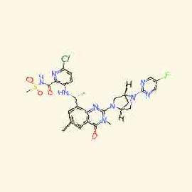 Cc1cc([C@@H](C)Nc2ccc(Cl)nc2C(=O)NS(C)(=O)=O)c2nc(N3C[C@H]4C[C@@H]3CN4c3ncc(F)cn3)n(C)c(=O)c2c1